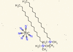 CCCCCCCCCCCCCCCC[N+](C)(C)C.CCCCCCCCCCCCCCCC[N+](C)(C)C.N#[C][Fe-2]([C]#N)([C]#N)([C]#N)([C]#N)[C]#N